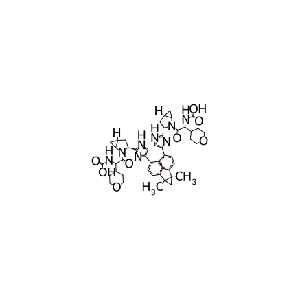 C[C@]1(c2ccc(-c3c[nH]c([C@@H]4C[C@H]5CC5N4C(=O)[C@H](NC(=O)O)C4CCOCC4)n3)cc2)C[C@]1(C)c1ccc(-c2c[nH]c([C@@H]3C[C@H]4CC4N3C(=O)[C@H](NC(=O)O)C3CCOCC3)n2)cc1